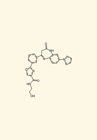 O=C1CC(c2cccc(-c3nc(C(=O)NCCO)co3)c2)=Nc2ccc(-n3cccc3)cc2N1